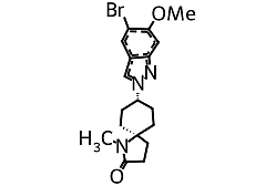 COc1cc2nn([C@H]3CC[C@@]4(CCC(=O)N4C)CC3)cc2cc1Br